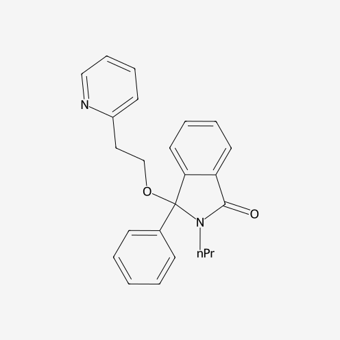 CCCN1C(=O)c2ccccc2C1(OCCc1ccccn1)c1ccccc1